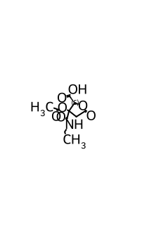 CCNC(=O)C1(OC(C)=O)CC(=O)O[C@@H]1C(=O)O